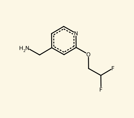 NCc1ccnc(OCC(F)F)c1